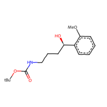 COc1ccccc1[C@H](O)CCCNC(=O)OC(C)(C)C